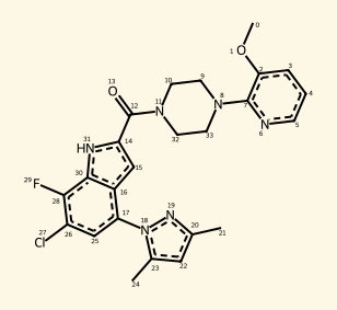 COc1cccnc1N1CCN(C(=O)c2cc3c(-n4nc(C)cc4C)cc(Cl)c(F)c3[nH]2)CC1